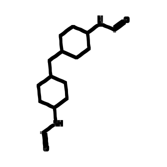 O=[C]NC1CCC(CC2CCC(N[C]=O)CC2)CC1